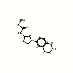 CC(C)(C)OC(=O)N[C@H]1CCN(c2ccc3c(c2)CCNC3)C1